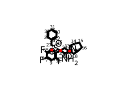 N[C@H](Cc1cc(F)c(F)cc1F)C1CC2CCC(C1)N2C(=O)CCS(=O)(=O)Cc1ccccc1